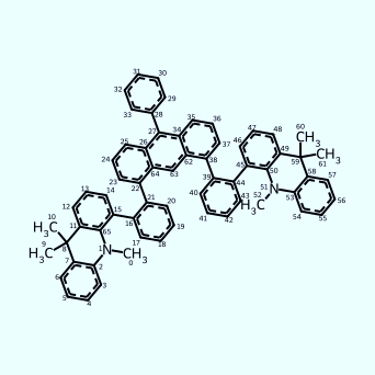 CN1c2ccccc2C(C)(C)c2cccc(-c3ccccc3-c3cccc4c(-c5ccccc5)c5cccc(-c6ccccc6-c6cccc7c6N(C)c6ccccc6C7(C)C)c5cc34)c21